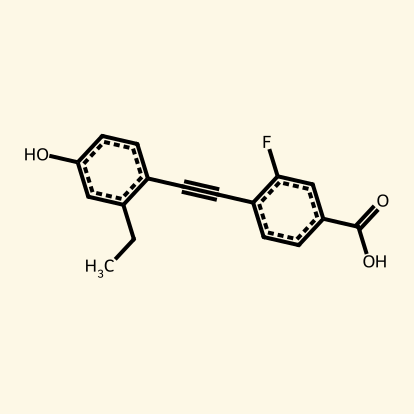 CCc1cc(O)ccc1C#Cc1ccc(C(=O)O)cc1F